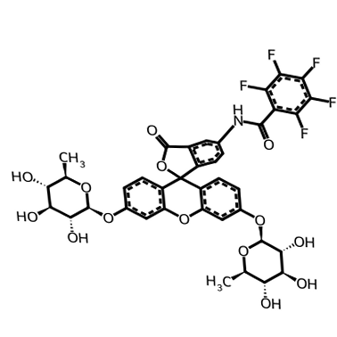 C[C@H]1O[C@@H](Oc2ccc3c(c2)Oc2cc(O[C@@H]4O[C@H](C)[C@@H](O)[C@H](O)[C@H]4O)ccc2C32OC(=O)c3cc(NC(=O)c4c(F)c(F)c(F)c(F)c4F)ccc32)[C@H](O)[C@@H](O)[C@@H]1O